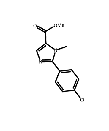 COC(=O)c1cnc(-c2ccc(Cl)cc2)n1C